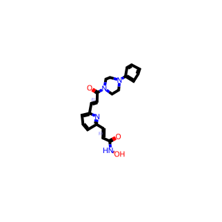 O=C(/C=C/c1cccc(/C=C/C(=O)N2CCN(c3ccccc3)CC2)n1)NO